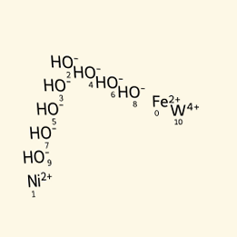 [Fe+2].[Ni+2].[OH-].[OH-].[OH-].[OH-].[OH-].[OH-].[OH-].[OH-].[W+4]